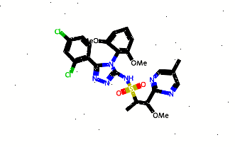 COc1cccc(OC)c1-n1c(NS(=O)(=O)C(C)C(OC)c2ncc(C)cn2)nnc1-c1ccc(Cl)cc1Cl